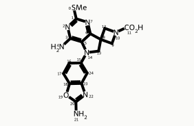 CSc1nc(N)c2c(n1)C1(CN(C(=O)O)C1)CN2c1ccc2oc(N)nc2c1